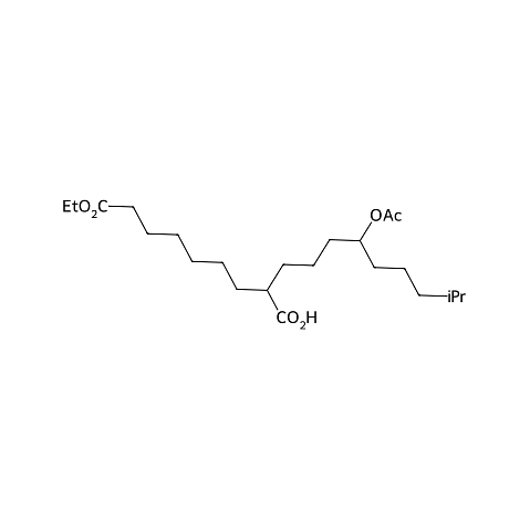 CCOC(=O)CCCCCCC(CCCC(CCCC(C)C)OC(C)=O)C(=O)O